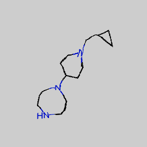 C1CN(C2CCN(CC3CC3)CC2)CCN1